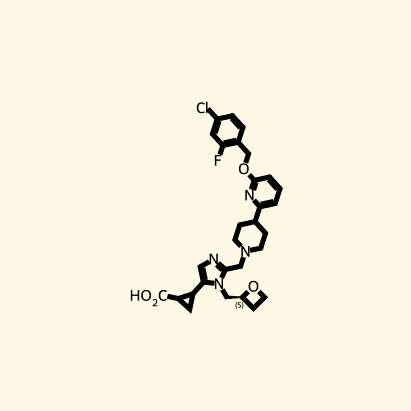 O=C(O)C1CC1c1cnc(CN2CCC(c3cccc(OCc4ccc(Cl)cc4F)n3)CC2)n1C[C@@H]1CCO1